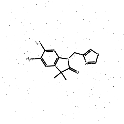 CC1(C)C(=O)N(Cc2cscn2)c2cc(N)c(N)cc21